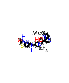 COc1ccc2nccc([C@@H](O)CN3CC[C@@H](NCc4ccc5c(n4)NC(=O)CS5)C[C@H]3C(F)(F)F)c2n1